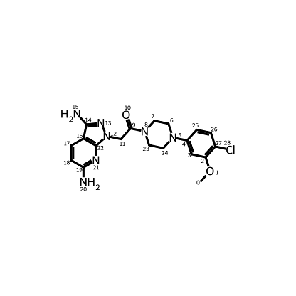 COc1cc(N2CCN(C(=O)Cn3nc(N)c4ccc(N)nc43)CC2)ccc1Cl